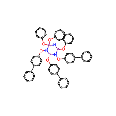 c1ccc(OP2N=P(Oc3ccccc3)(Oc3ccccc3)N(Oc3ccc(-c4ccccc4)cc3)P(Oc3ccc(-c4ccccc4)cc3)N2Oc2ccc(-c3ccccc3)cc2)cc1